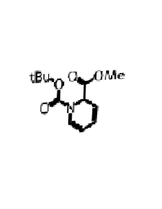 COC(=O)C1C=CC=CN1C(=O)OC(C)(C)C